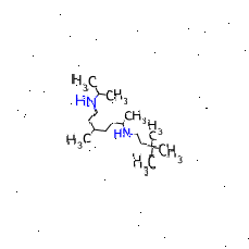 CC(CCNC(C)C)CCC(C)NCCC(C)(C)C